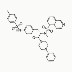 Cc1ccc(S(=O)(=O)Nc2ccc(C[C@@H](C(=O)N3CCN(c4ccccc4)CC3)N(C)S(=O)(=O)c3cccc4cnccc34)cc2)cc1